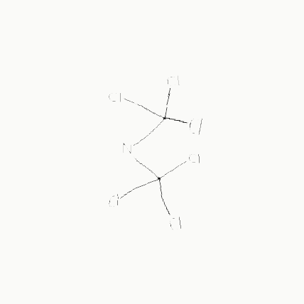 ClC(Cl)(Cl)[N]C(Cl)(Cl)Cl